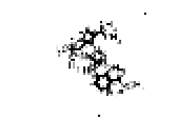 CC(C)c1coc([C@H](Nc2nonc2Nc2cccc(C(=O)N(C)C)c2O)C(C)(C)C)c1